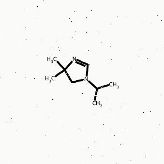 CC(C)N1[C]=NC(C)(C)C1